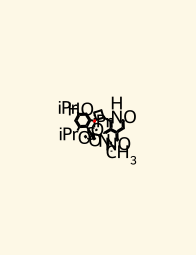 CC(C)c1cc(C(C)C)c(S(=O)(=O)Oc2nn(C)c(=O)c3cc(=O)[nH]c(C4CC(O)C4)c23)c(C(C)C)c1